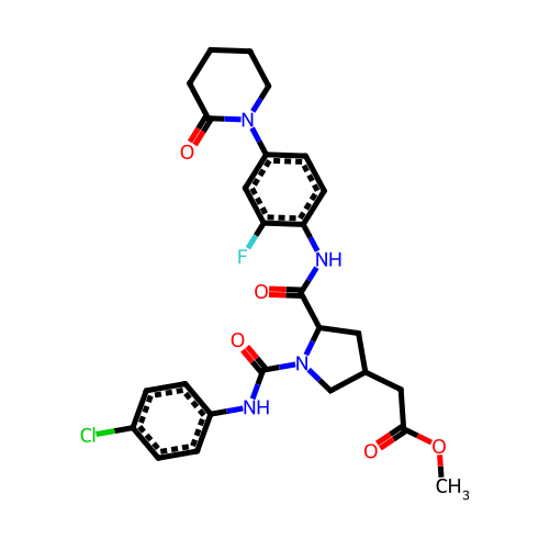 COC(=O)CC1CC(C(=O)Nc2ccc(N3CCCCC3=O)cc2F)N(C(=O)Nc2ccc(Cl)cc2)C1